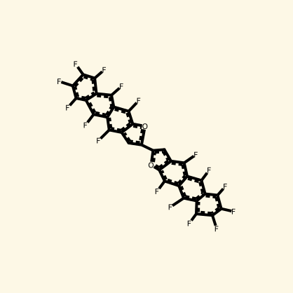 Fc1c(F)c(F)c2c(F)c3c(F)c4oc(-c5cc6c(F)c7c(F)c8c(F)c(F)c(F)c(F)c8c(F)c7c(F)c6o5)cc4c(F)c3c(F)c2c1F